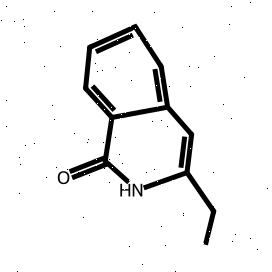 CCc1cc2ccccc2c(=O)[nH]1